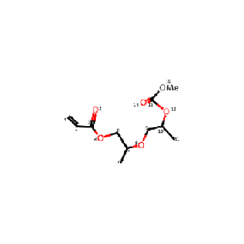 C=CC(=O)OCC(C)OCC(C)OC(=O)OC